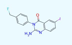 Nc1nc2ccc(I)cc2c(=O)n1-c1ccc(CF)cc1